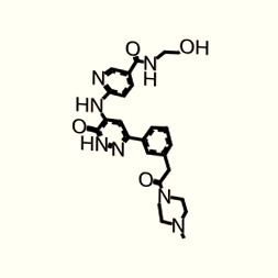 CN1CCN(C(=O)Cc2cccc(-c3cc(Nc4ccc(C(=O)NCCO)cn4)c(=O)[nH]n3)c2)CC1